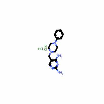 Cl.Cl.Nc1ncc(CN2CCN(c3ccccc3)CC2)c(N)n1